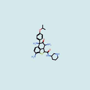 CC(C)Oc1ccc(C2(N)C(=O)C(N)C3c4c2ccc(N)c4SC3C(=O)NC2CCCNC2)cc1